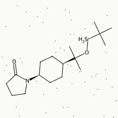 CC(C)(C)[SiH2]OC(C)(C)[C@H]1CC[C@@H](N2CCCC2=O)CC1